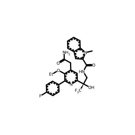 CCOc1c(CC(N)=O)cc([C@@](O)(CNC(=O)c2cc3ccccc3n2C)C(F)(F)F)nc1-c1ccc(F)cc1